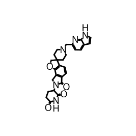 O=C1CCC(N2Cc3c(ccc4c3OCC43CCN(Cc4ccc5cc[nH]c5n4)CC3)C2=O)C(=O)N1